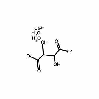 O.O.O=C([O-])C(O)C(O)C(=O)[O-].[Ca+2]